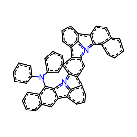 c1ccc(N(c2ccccc2)c2c3ccccc3cc3c4cccc5c6cc7c(cc6n(c23)c54)c2cccc3c4ccc5ccccc5c4n7c23)cc1